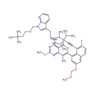 COCOc1cc(-c2oc(=O)c3c(NCCc4cn(COCC[Si](C)(C)C)c5ncccc45)nc(SC)nc3c2C)c2c(C#C[Si](C(C)C)(C(C)C)C(C)C)c(F)ccc2c1